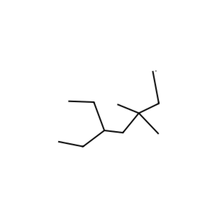 [CH2]CC(C)(C)CC(CC)CC